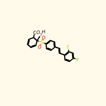 CC1(S(=O)(=O)c2ccc(/C=C/c3ccc(F)cc3F)cc2)C=CC=CC1C(=O)O